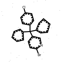 Clc1ccc(C(c2ccccc2)(c2ccccc2)c2ccc(Br)nc2)cc1